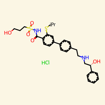 CC(C)Sc1cc(-c2ccc(CCNC[C@H](O)c3ccccc3)cc2)ccc1C(=O)NS(=O)(=O)CCCO.Cl